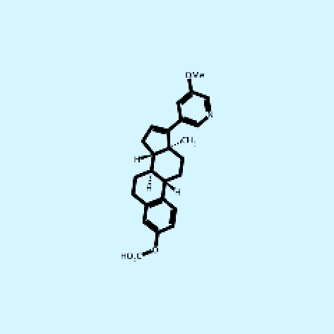 COc1cncc(C2=CC[C@H]3[C@@H]4CCc5cc(OC(=O)O)ccc5[C@H]4CC[C@]23C)c1